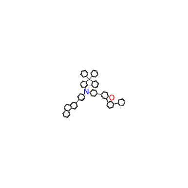 c1ccc(-c2cccc3c2oc2ccc(-c4ccc(N(c5ccc(-c6ccc7c(ccc8ccccc87)c6)cc5)c5cccc6c5-c5ccccc5C6(c5ccccc5)c5ccccc5)cc4)cc23)cc1